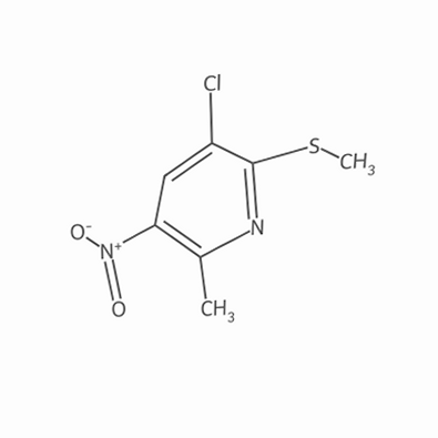 CSc1nc(C)c([N+](=O)[O-])cc1Cl